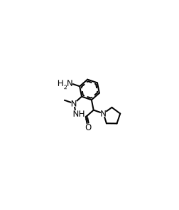 CN(N)c1c(N)cccc1C(C=O)N1CCCC1